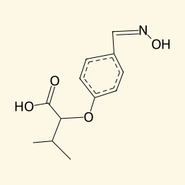 CC(C)C(Oc1ccc(/C=N\O)cc1)C(=O)O